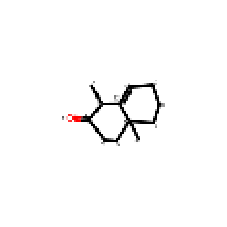 CC1C(=O)CCC2(C)CCCC=C12